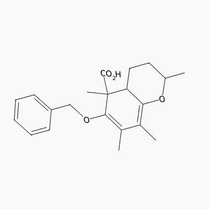 CC1=C2OC(C)CCC2C(C)(C(=O)O)C(OCc2ccccc2)=C1C